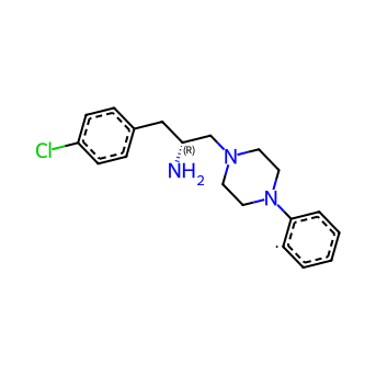 N[C@H](Cc1ccc(Cl)cc1)CN1CCN(c2[c]cccc2)CC1